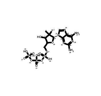 CC1(F)C(O)C(COP(=O)(O)OP(=O)(O)OP(=O)(O)O)O[C@H]1n1cnc2c(N)nc(N)nc21